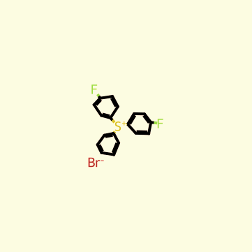 Fc1ccc([S+](c2ccccc2)c2ccc(F)cc2)cc1.[Br-]